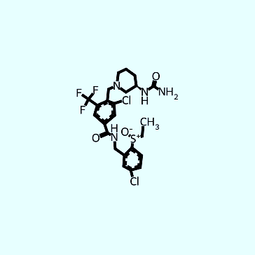 CC[S+]([O-])c1ccc(Cl)cc1CNC(=O)c1cc(Cl)c(CN2CCC[C@@H](NC(N)=O)C2)c(C(F)(F)F)c1